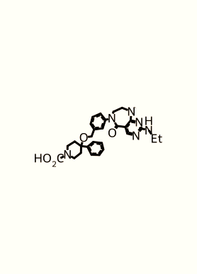 CCNc1ncc2c(n1)N(C)CCN(c1cccc(COC3(c4ccccc4)CCN(C(=O)O)CC3)c1)C2=O